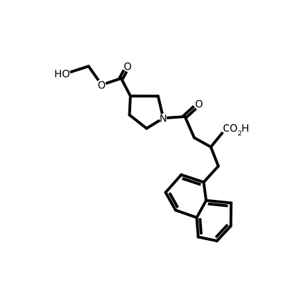 O=C(O)C(CC(=O)N1CCC(C(=O)OCO)C1)Cc1cccc2ccccc12